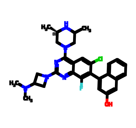 CC1CN(c2nc(N3CC(N(C)C)C3)nc3c(F)c(-c4cc(O)cc5ccccc45)c(Cl)cc23)C[C@H](C)N1